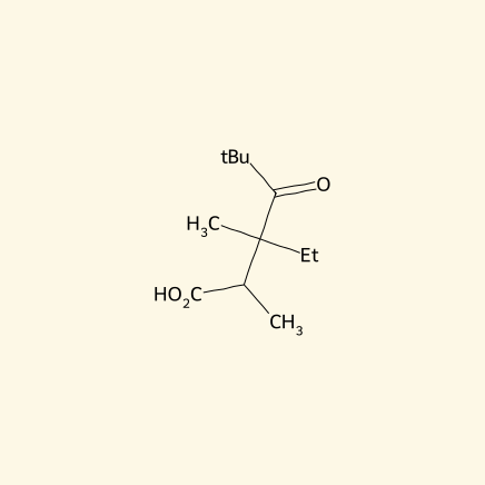 CCC(C)(C(=O)C(C)(C)C)C(C)C(=O)O